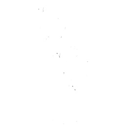 Clc1ccc(-c2nc3cc(NCc4ccccc4)ccc3o2)cc1